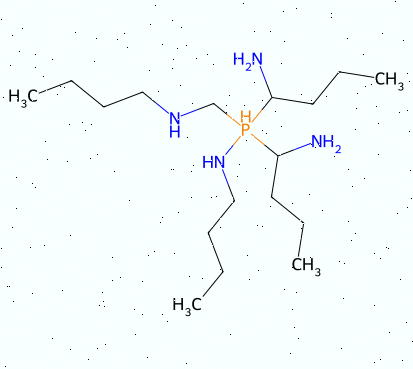 CCCCNC[PH](NCCCC)(C(N)CCC)C(N)CCC